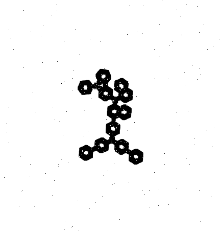 c1ccc(-c2ccc(N(c3ccc(-c4ccccc4)cc3)c3ccc(-c4ccc(N(c5ccc6c(c5)c5ccccc5n6-c5ccccc5)c5cccc6ccccc56)c5ccccc45)cc3)cc2)cc1